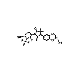 CC1(C)C(=O)N(c2ccc(C#N)c(C(F)(F)F)c2F)C(=S)N1c1ccc2c(c1)OC[C@H](CO)O2